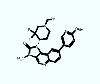 [2H]CN1CC[C@H](n2c(=O)n(C)c3cnc4ccc(-c5ccc(OC)nc5)cc4c32)C(F)(F)C1